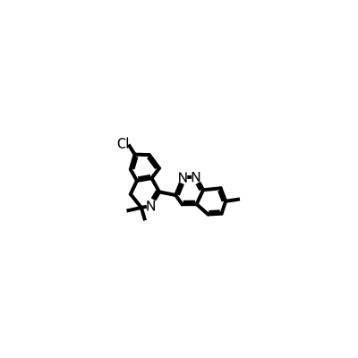 Cc1ccc2cc(C3=NC(C)(C)Cc4cc(Cl)ccc43)nnc2c1